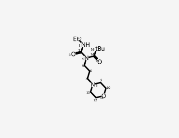 CCNC(=O)N(CCCN1CCOCC1)C(=O)C(C)(C)C